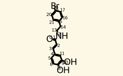 O=C(C=Cc1ccc(O)c(O)c1)NCCc1ccc(Br)cc1